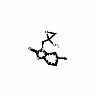 CC1(Cn2c(=O)oc3ccc(Br)cc32)CO1